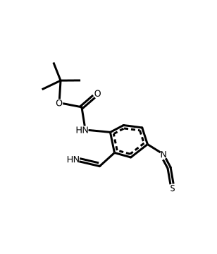 CC(C)(C)OC(=O)Nc1ccc(N=C=S)cc1C=N